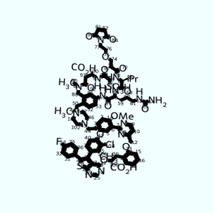 COc1ccccc1-c1nccc(COc2ccccc2C[C@@H](Oc2ncnc3sc(-c4ccc(F)cc4)c(-c4ccc(OCCN5CC[N+](C)(Cc6ccc(NC(=O)[C@H](CCCNC(N)=O)NC(=O)[C@@H](NC(=O)CCOCCN7C(=O)C=CC7=O)C(C)C)cc6CN(C)C(=O)C[C@H](NC(=O)CS(=O)(=O)O)C(=O)O)CC5)c(Cl)c4C)c23)C(=O)O)n1